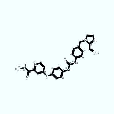 C=Cc1nccn1Cc1ccc(NC(=O)Nc2ccc(Oc3ccnc(C(=O)NC)c3)cc2)cc1